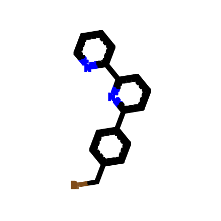 BrCc1ccc(-c2cccc(-c3ccccn3)n2)cc1